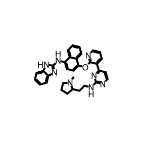 CN1CCCC1CCNc1nccc(-c2cccnc2Oc2ccc(Nc3nc4ccccc4[nH]3)c3ccccc23)n1